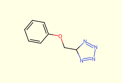 c1ccc(OCC2N=NN=N2)cc1